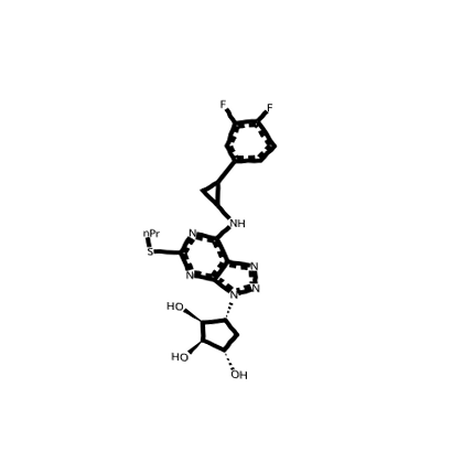 CCCSc1nc(NC2CC2c2ccc(F)c(F)c2)c2nnn([C@@H]3C[C@H](O)[C@@H](O)[C@H]3O)c2n1